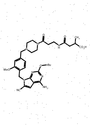 CCCCOc1nc(N)c2cc(C#N)n(Cc3ccc(CN4CCN(C(=O)CCNC(=O)CC(C)C(=O)O)CC4)cc3OC)c2n1